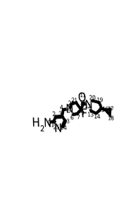 Nc1cc(CN2CCC(F)(C(=O)N3CCC(C4CC4)CC3)CC2)ccn1